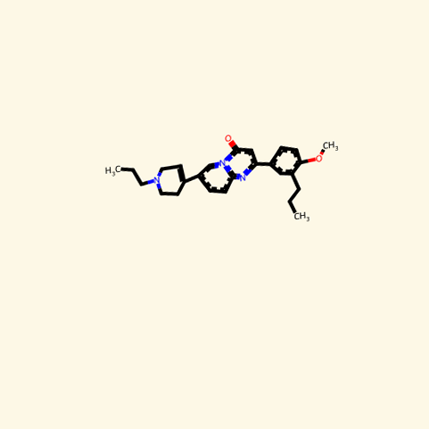 CCCc1cc(-c2cc(=O)n3cc(C4=CCN(CCC)CC4)ccc3n2)ccc1OC